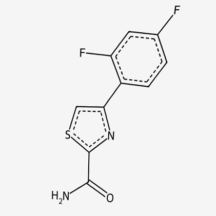 NC(=O)c1nc(-c2ccc(F)cc2F)cs1